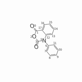 O=c1oc(=O)n(-c2ccccc2)c2ccccc12